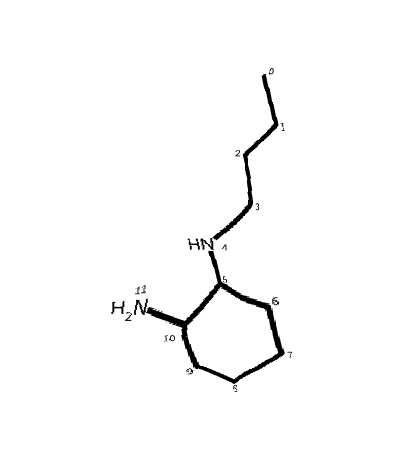 CCCCNC1CCCCC1N